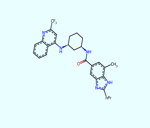 CCCc1nc2cc(C(=O)N[C@@H]3CCC[C@H](Nc4cc(C(F)(F)F)nc5ccccc45)C3)cc(C)c2[nH]1